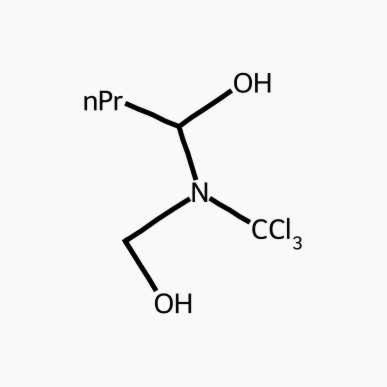 CCCC(O)N(CO)C(Cl)(Cl)Cl